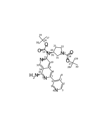 Cc1ccncc1-c1cc2cc(N(C(=O)OC(C)(C)C)[C@H]3CCN(C(=O)OC(C)(C)C)C3)ncc2c(N)n1